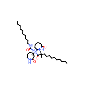 CCCCCCCCCCNC(=O)N[C@]1(N(C(=O)C(C)(C)CCCCCCCCCC)[C@@H]2CCCCC(=O)N2)CCCNC(=O)C1